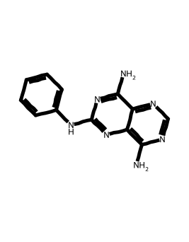 Nc1nc(Nc2ccccc2)nc2c(N)ncnc12